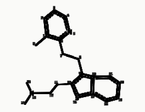 Cc1cccnc1CCc1c(CCN(C)C)sc2ccccc12